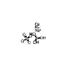 O=S(=O)([O-])[O-].OB(O)O.[Cu].[Na+].[Na+]